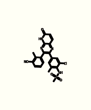 Cc1cc(-c2nc3ccc(=O)[nH]c3nc2-c2cccc(C#N)c2C)cc(Cl)c1NS(C)(=O)=O